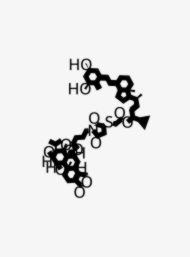 C=C1/C(=C\C=C2/CCC[C@@]3(C)C2CCC3[C@@H](C)/C=C/C(OC(=O)CSC2CC(=O)N(CCCC(=O)O[C@@H]3[C@@]4(C(C)C)O[C@H]4[C@@H]4O[C@]45[C@]34O[C@H]4C[C@H]3C4=C(CC[C@@]35C)C(=O)OC4)C2=O)C2CC2)C[C@@H](O)C[C@@H]1O